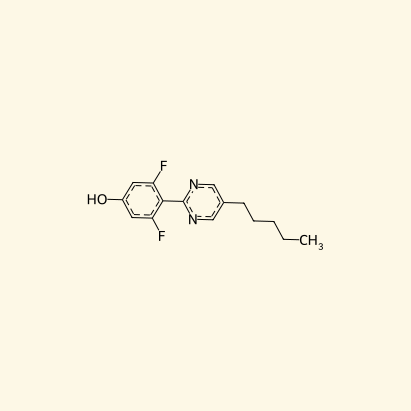 CCCCCc1cnc(-c2c(F)cc(O)cc2F)nc1